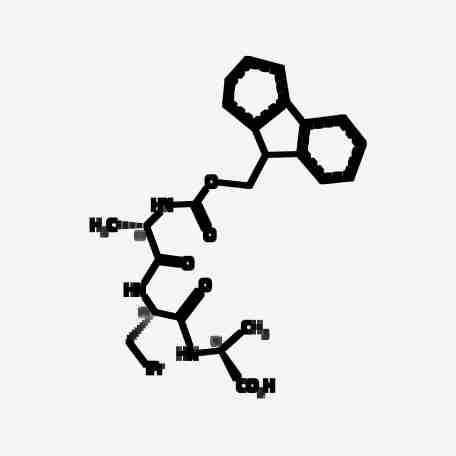 CC(C)C[C@H](NC(=O)[C@H](C)NC(=O)OCC1c2ccccc2-c2ccccc21)C(=O)N[C@@H](C)C(=O)O